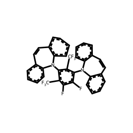 Fc1c(F)c(C(F)(F)F)c(N2c3ccccc3C=Cc3ccccc32)c(C(F)(F)F)c1N1c2ccccc2C=Cc2ccccc21